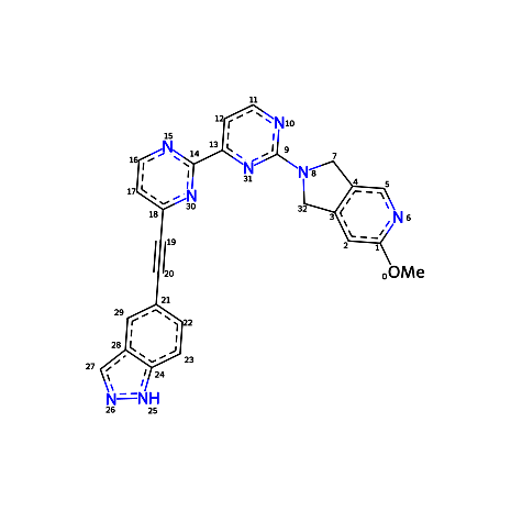 COc1cc2c(cn1)CN(c1nccc(-c3nccc(C#Cc4ccc5[nH]ncc5c4)n3)n1)C2